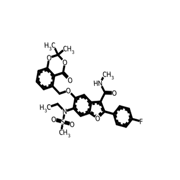 CCN(c1cc2oc(-c3ccc(F)cc3)c(C(=O)NC)c2cc1OCc1cccc2c1C(=O)OC(C)(C)O2)S(C)(=O)=O